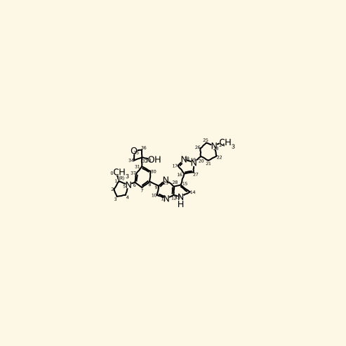 C[C@@H]1CCCN1c1cc(-c2cnc3[nH]cc(-c4cnn(C5CCN(C)CC5)c4)c3n2)cc(C2(O)COC2)c1